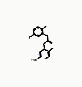 C=C(/C=C(/C=C/NC)C(\C)=C/C)Cc1cc(F)ccc1C